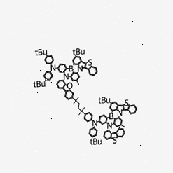 Cc1cc2c3c(c1)-n1c4c(cc(C(C)(C)C)cc4c4sc5ccccc5c41)B3c1ccc(N(c3ccc(C(C)(C)C)cc3)c3ccc(C(C)(C)C)cc3)cc1N2c1cccc2c1oc1cc(C(C)(C)CCC(C)(C)c3ccc(N(c4ccc(C(C)(C)C)cc4)c4ccc5c(c4)N(c4cccc6sc7ccccc7c46)c4cc(C)cc6c4B5c4cc(C(C)(C)C)cc5c7sc8ccccc8c7n-6c45)cc3)ccc12